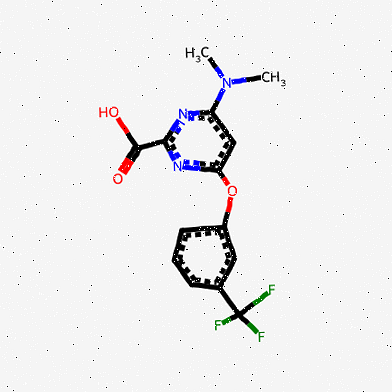 CN(C)c1cc(Oc2cccc(C(F)(F)F)c2)nc(C(=O)O)n1